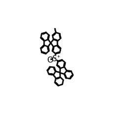 Cc1ccc2c(c1)C1(c3ccccc3-c3ccccc31)c1cc([S+]([O-])c3ccc4c(c3)C3(C5=C(C=CCC5)c5ccccc53)c3ccccc3-4)ccc1-2